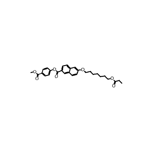 CCC(=O)OCCCCCCCOc1ccc2cc(C(=O)Oc3ccc(C(=O)OC)cc3)ccc2c1